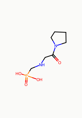 O=C(CNCP(=O)(O)O)N1CCCC1